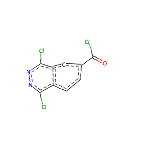 O=C(Cl)c1ccc2c(Cl)nnc(Cl)c2c1